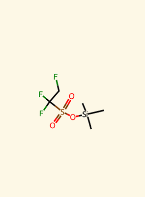 C[Si](C)(C)OS(=O)(=O)C(F)(F)CF